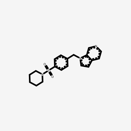 O=S(=O)(c1ccc(Cn2ccc3ccncc32)cc1)N1CCCCC1